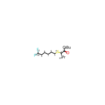 CC(C)COC(=O)C(SCCCCCC(F)F)C(C)C